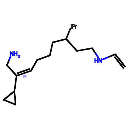 C=CNCCC(CCC/C=C(\CN)C1CC1)C(C)C